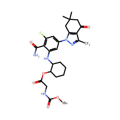 CC1(C)CC(=O)c2c(C(F)(F)F)nn(-c3cc(F)c(C(N)=O)c(NC4CCCCC4OC(=O)CNC(=O)OC(C)(C)C)c3)c2C1